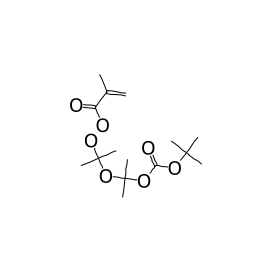 C=C(C)C(=O)OOC(C)(C)OC(C)(C)OC(=O)OC(C)(C)C